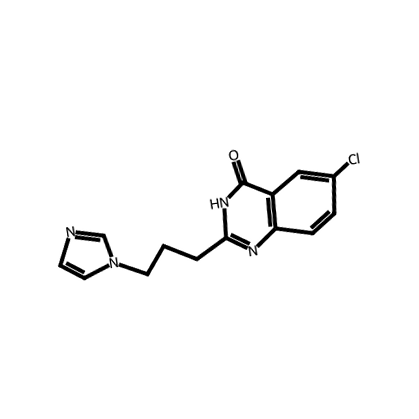 O=c1[nH]c(CCCn2ccnc2)nc2ccc(Cl)cc12